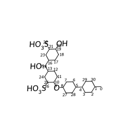 CC1CCC(C2CCC(OC3CCC(C(O)C4CCC(O)C(S(=O)(=O)O)C4)CC3S(=O)(=O)O)CC2)CC1